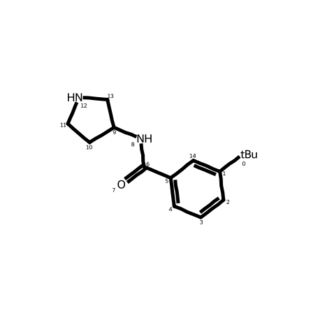 CC(C)(C)c1cccc(C(=O)NC2CCNC2)c1